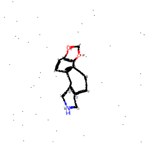 c1cc2c(c3c1OCO3)CCC1CNCC21